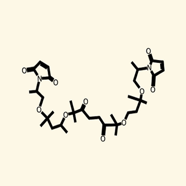 CC(CC(C)(C)OCC(C)N1C(=O)C=CC1=O)OC(C)(C)C(=O)CCC(=O)C(C)(C)OCCC(C)(C)OCC(C)N1C(=O)C=CC1=O